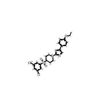 CCOc1ccc(-c2csc(N3CCC(S(=O)(=O)c4cc(Cl)cc(Cl)c4)CC3)n2)cc1